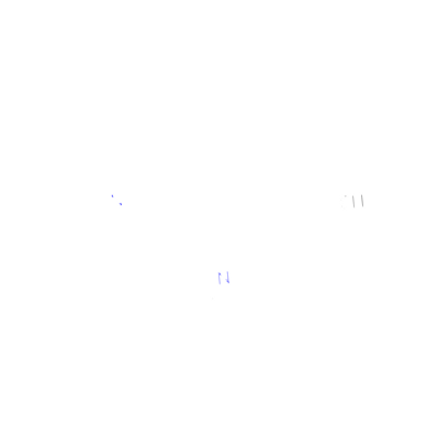 C/C=C\C=C/c1cccc(N(c2ccccc2)c2ccc3cc(N(C4=CC=C5C=CC=CC5C4)c4ccccc4)ccc3c2)c1